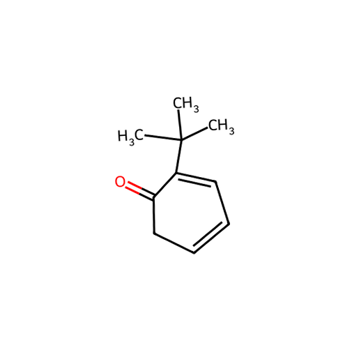 CC(C)(C)C1=CC=CCC1=O